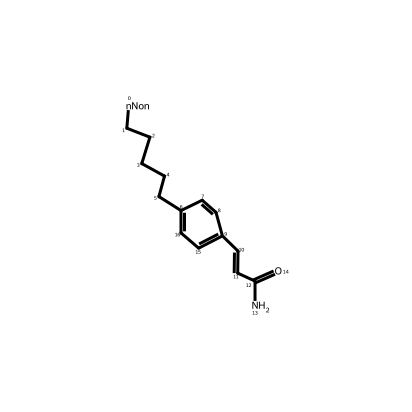 CCCCCCCCCCCCCCc1ccc(C=CC(N)=O)cc1